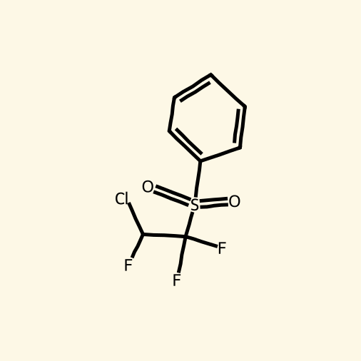 O=S(=O)(c1ccccc1)C(F)(F)C(F)Cl